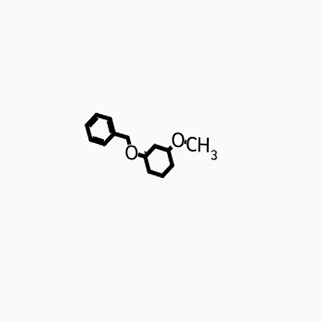 COC1CCC[C](OCc2ccccc2)C1